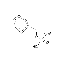 O=P([SeH])([SeH])OCc1ccccc1